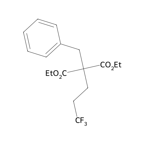 CCOC(=O)C(CCC(F)(F)F)(Cc1ccccc1)C(=O)OCC